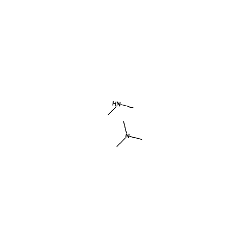 CN(C)C.CNC